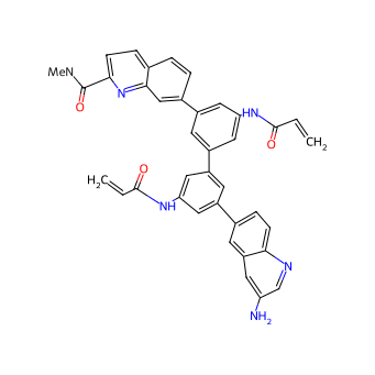 C=CC(=O)Nc1cc(-c2cc(NC(=O)C=C)cc(-c3ccc4ccc(C(=O)NC)nc4c3)c2)cc(-c2ccc3ncc(N)cc3c2)c1